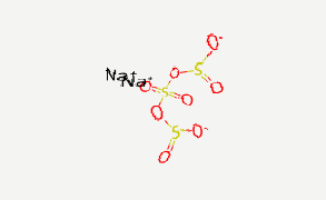 O=S([O-])OS(=O)(=O)OS(=O)[O-].[Na+].[Na+]